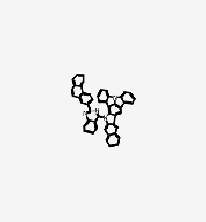 c1ccc2cc3c(cc2c1)c1cc2c4ccccc4n4c5ccccc5c(c1n3-c1nc(-c3ccc5c(ccc6ccccc65)c3)nc3ccccc13)c24